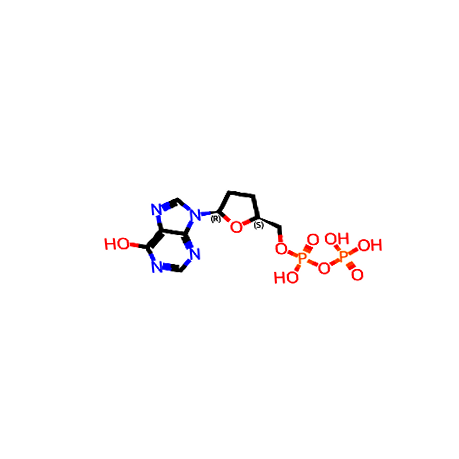 O=P(O)(O)OP(=O)(O)OC[C@@H]1CC[C@H](n2cnc3c(O)ncnc32)O1